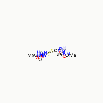 COC(=O)NC(C(=O)N1CC=CC1c1nc(-c2cc3sc(-c4ccc(-c5c[nH]c([C@@H]6CCCN6C(=O)[C@@H](NC(=O)OC)C(C)C)n5)cc4)cc3s2)c[nH]1)c1ccccc1